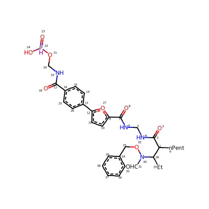 CCCCCC(C(=O)NCNC(=O)c1ccc(-c2ccc(C(=O)NCO[PH](=O)O)cc2)o1)C(CC)N(C=O)OCc1ccccc1